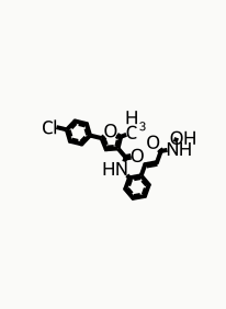 Cc1oc(-c2ccc(Cl)cc2)cc1C(=O)Nc1ccccc1C=CC(=O)NO